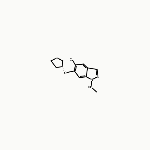 Clc1cc2cnn(PI)c2cc1O[C@@H]1CCOC1